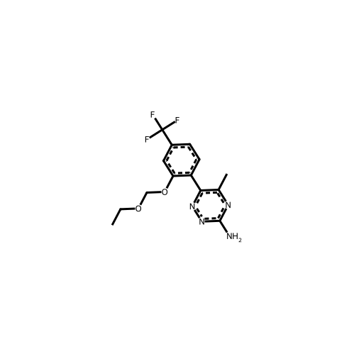 CCOCOc1cc(C(F)(F)F)ccc1-c1nnc(N)nc1C